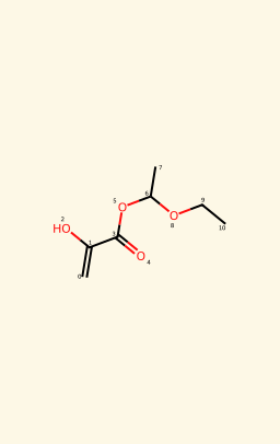 C=C(O)C(=O)OC(C)OCC